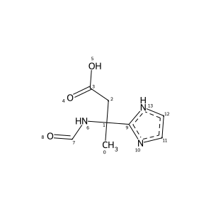 CC(CC(=O)O)(NC=O)c1ncc[nH]1